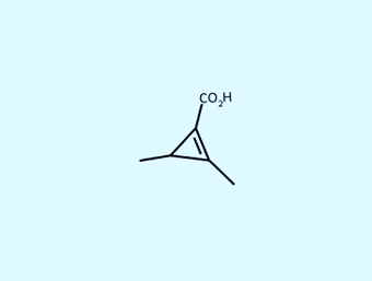 CC1=C(C(=O)O)C1C